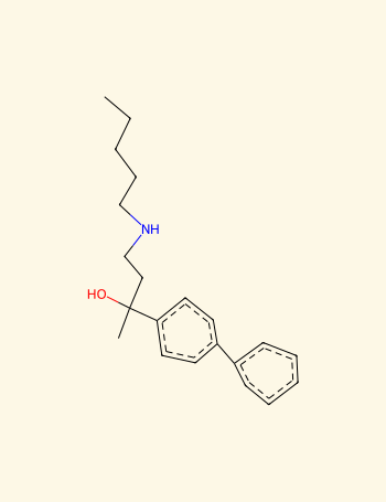 CCCCCNCCC(C)(O)c1ccc(-c2ccccc2)cc1